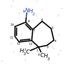 CC1(C)CCCCc2c(N)cccc21